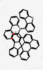 CCc1ccc2cccc3c2c1C1(c2ccccc2-c2ccc(N(c4ccccc4-c4ccccc4)c4cccc5sc6ccccc6c45)cc21)c1ccccc1-3